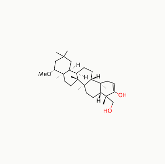 CO[C@@H]1CC(C)(C)C[C@H]2[C@H]3CC[C@@H]4[C@@]5(C)CC=C(O)[C@](C)(CO)[C@@H]5CC[C@@]4(C)[C@]3(C)CC[C@@]12C